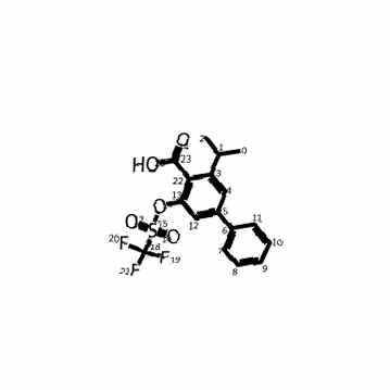 CC(C)c1cc(-c2ccccc2)cc(OS(=O)(=O)C(F)(F)F)c1C(=O)O